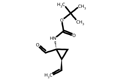 C=C[C@@H]1C[C@@]1(C=O)NC(=O)OC(C)(C)C